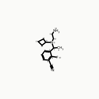 CC(c1cccc(C#N)c1F)N(CCN)C1CCC1